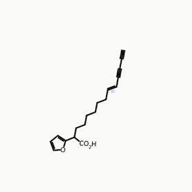 C#CC#C/C=C/CCCCCCC(C(=O)O)c1ccco1